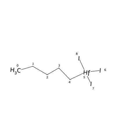 CCCC[CH2][Hf]([I])([I])[I]